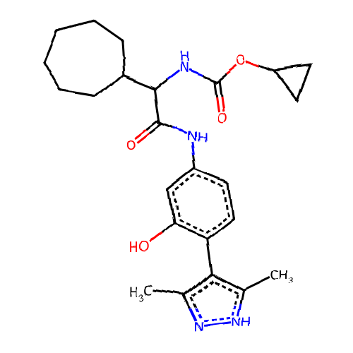 Cc1n[nH]c(C)c1-c1ccc(NC(=O)C(NC(=O)OC2CC2)C2CCCCCC2)cc1O